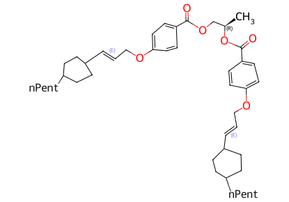 CCCCCC1CCC(/C=C/COc2ccc(C(=O)OC[C@@H](C)OC(=O)c3ccc(OC/C=C/C4CCC(CCCCC)CC4)cc3)cc2)CC1